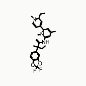 C=C(NC1=CC(C)=CC(C2=CC(CC)N(C)C=C2)N1C)C(C)(CC)c1ccc2c(c1)OC(F)(F)O2